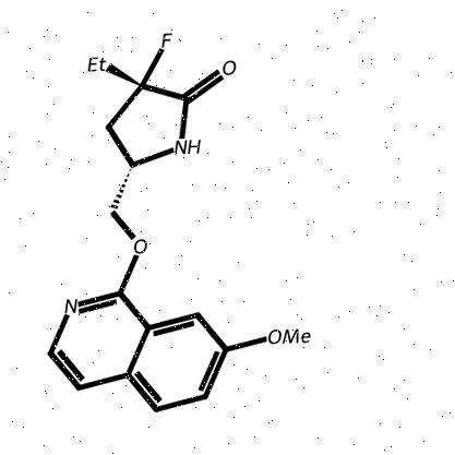 CC[C@]1(F)C[C@@H](COc2nccc3ccc(OC)cc23)NC1=O